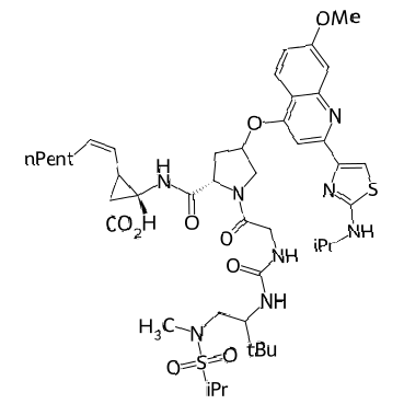 CCCCC/C=C\C1C[C@]1(NC(=O)[C@@H]1CC(Oc2cc(-c3csc(NC(C)C)n3)nc3cc(OC)ccc23)CN1C(=O)CNC(=O)NC(CN(C)S(=O)(=O)C(C)C)C(C)(C)C)C(=O)O